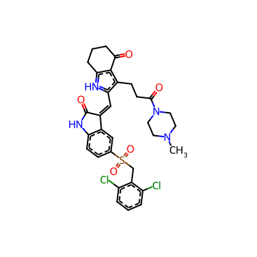 CN1CCN(C(=O)CCc2c(C=C3C(=O)Nc4ccc(S(=O)(=O)Cc5c(Cl)cccc5Cl)cc43)[nH]c3c2C(=O)CCC3)CC1